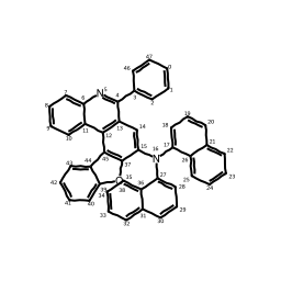 c1ccc(-c2nc3ccccc3c3c2cc(N(c2cccc4ccccc24)c2cccc4ccccc24)c2oc4ccccc4c23)cc1